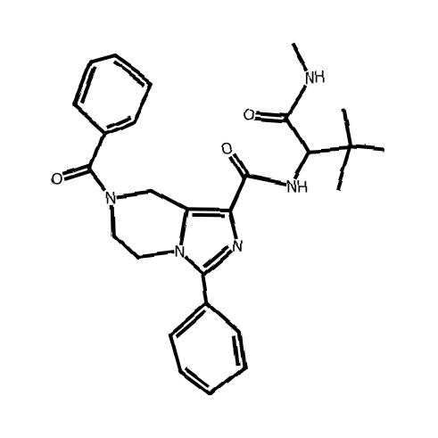 CNC(=O)C(NC(=O)c1nc(-c2ccccc2)n2c1CN(C(=O)c1ccccc1)CC2)C(C)(C)C